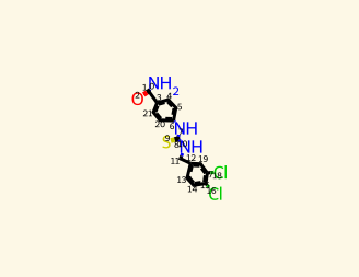 NC(=O)c1ccc(NC(=S)NCc2ccc(Cl)c(Cl)c2)cc1